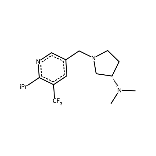 CC(C)c1ncc(CN2CC[C@H](N(C)C)C2)cc1C(F)(F)F